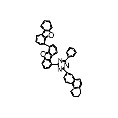 C1=Cc2c(ccc3cc(-c4nc(-c5ccccc5)nc(-c5cccc6oc7c(-c8cccc9c8oc8ccccc89)cccc7c56)n4)ccc23)CC1